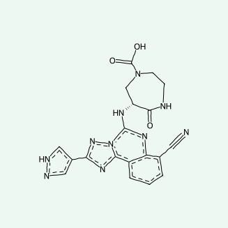 N#Cc1cccc2c1nc(N[C@@H]1CN(C(=O)O)CCNC1=O)n1nc(-c3cn[nH]c3)nc21